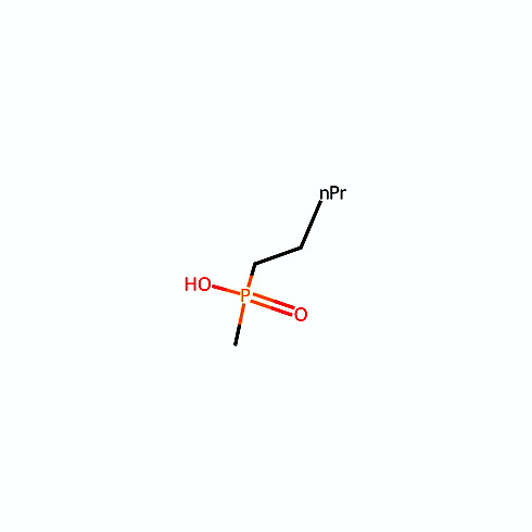 CCCCCP(C)(=O)O